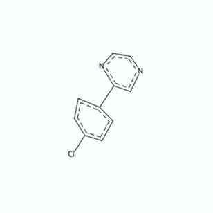 Clc1ccc(-c2cn[c]cn2)cc1